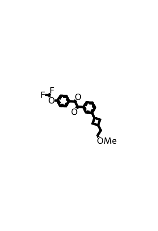 COCCC1CC(c2cccc(C(=O)C(=O)c3ccc(OC(F)F)cc3)c2)C1